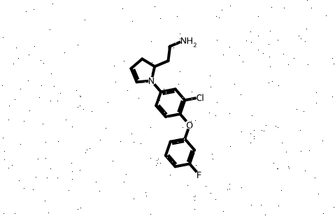 NCCC1CC=CN1c1ccc(Oc2cccc(F)c2)c(Cl)c1